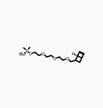 CC(C)(C)[Si](C)(C)OCCOCCOCCOCC1CC2C=C[C@H]21